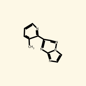 Cc1cccnc1-c1cnn2ccnc2n1